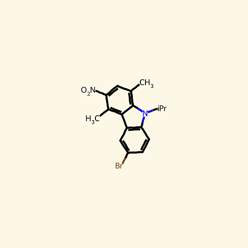 Cc1c([N+](=O)[O-])cc(C)c2c1c1cc(Br)ccc1n2C(C)C